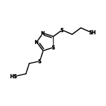 SCCSc1nnc(SCCS)s1